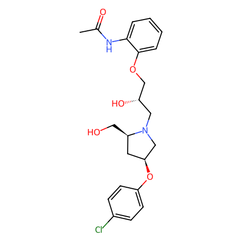 CC(=O)Nc1ccccc1OC[C@@H](O)CN1C[C@@H](Oc2ccc(Cl)cc2)C[C@H]1CO